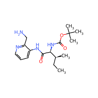 CC[C@H](C)[C@H](NC(=O)OC(C)(C)C)C(=O)Nc1cccnc1CN